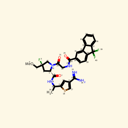 COC[C@@]1(F)C[C@@H](C(=O)NC(C)c2cc(C(=N)N)cs2)N(C(=O)CNC(=O)c2ccc3c(c2)-c2ccccc2C3(F)F)C1